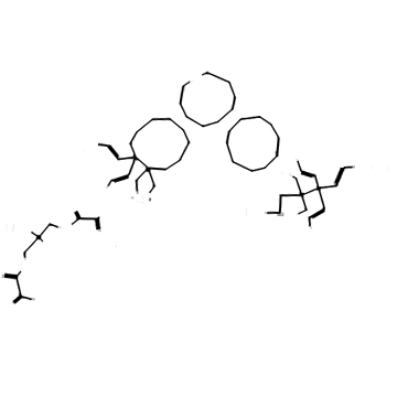 C1CCCCCCCCC1.C1CCCCCCCCC1.C=C(C)C(=O)OCC(C)(C)COC(=O)C(=C)C.O=C(O)C=CC(C=CC(=O)O)(C=CC(=O)O)C(CO)(CO)CCO.O=C(O)C=CC1(C=CC(=O)O)CCCCCCCCC1(CO)CO